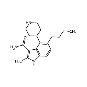 CCCCc1ccc2[nH]c(C)c(C(N)=O)c2c1C1CCNCC1